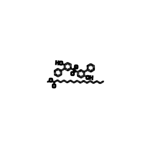 CCCCCCCCCCCCCCCC(=O)OC.O=S(=O)(c1ccc(O)c(-c2ccccc2)c1)c1ccc(O)c(-c2ccccc2)c1